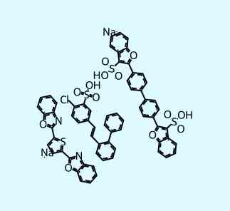 O=S(=O)(O)c1c(-c2ccc(-c3ccc(-c4oc5ccccc5c4S(=O)(=O)O)cc3)cc2)oc2ccccc12.O=S(=O)(O)c1cc(C=Cc2ccccc2-c2ccccc2)ccc1Cl.[Na].[Na].c1ccc2oc(-c3ccc(-c4nc5ccccc5o4)s3)nc2c1